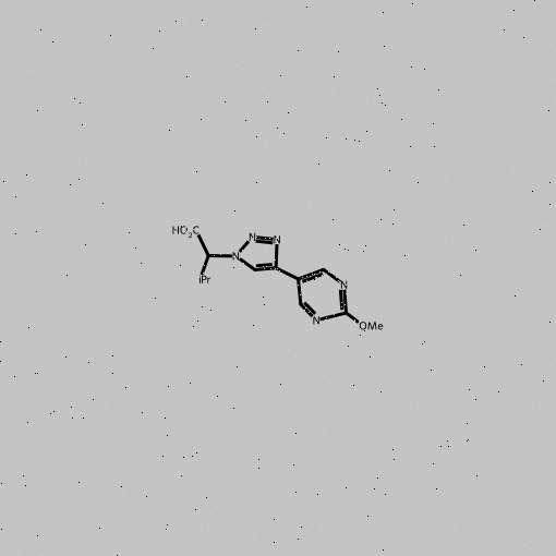 COc1ncc(-c2cn(C(C(=O)O)C(C)C)nn2)cn1